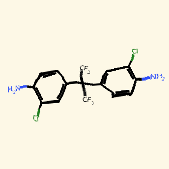 Nc1ccc(C(c2ccc(N)c(Cl)c2)(C(F)(F)F)C(F)(F)F)cc1Cl